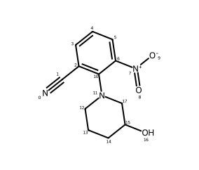 N#Cc1cccc([N+](=O)[O-])c1N1CCCC(O)C1